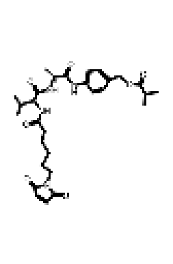 CC(C)C(=O)OCc1ccc(NC(=O)[C@H](C)NC(=O)C(NC(=O)CCCCCN2C(=O)C=CC2=O)C(C)C)cc1